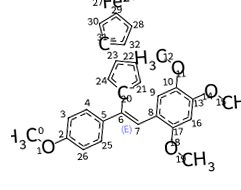 COc1ccc(/C(=C/c2cc(OC)c(OC)cc2OC)[c-]2cccc2)cc1.[Fe+2].c1cc[cH-]c1